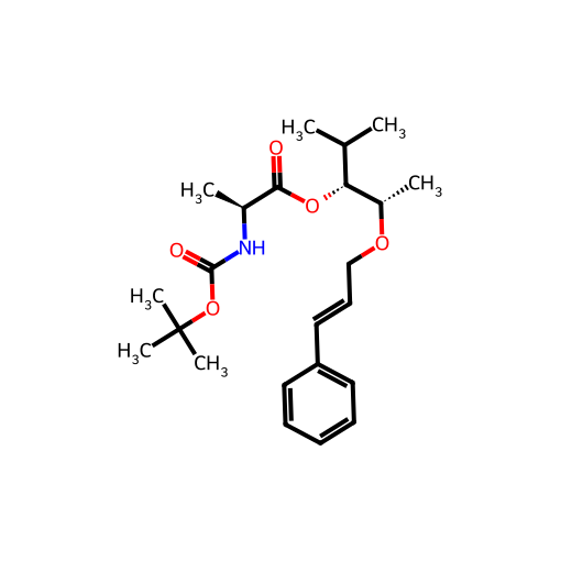 CC(C)[C@@H](OC(=O)[C@H](C)NC(=O)OC(C)(C)C)[C@H](C)OC/C=C/c1ccccc1